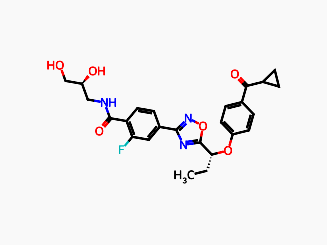 CC[C@@H](Oc1ccc(C(=O)C2CC2)cc1)c1nc(-c2ccc(C(=O)NC[C@H](O)CO)c(F)c2)no1